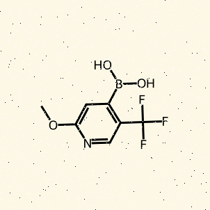 COc1cc(B(O)O)c(C(F)(F)F)cn1